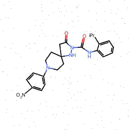 CC(C)c1ccccc1NC(=O)N1NC2(CCN(c3ccc([N+](=O)[O-])cc3)CC2)CC1=O